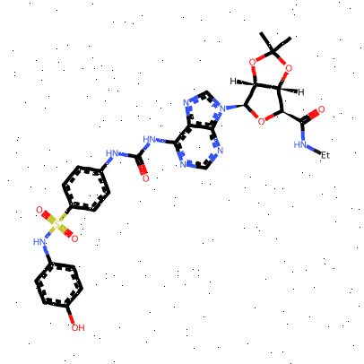 CCNC(=O)[C@H]1O[C@@H](n2cnc3c(NC(=O)Nc4ccc(S(=O)(=O)Nc5ccc(O)cc5)cc4)ncnc32)[C@@H]2OC(C)(C)O[C@@H]21